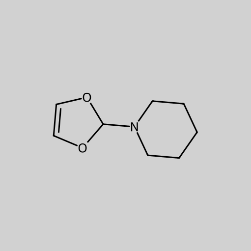 C1=COC(N2CCCCC2)O1